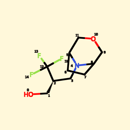 OC[C@@H](CN1C2CCC1COC2)C(F)(F)F